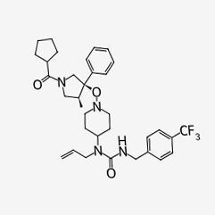 C=CCN(C(=O)NCc1ccc(C(F)(F)F)cc1)C1CCN(O[C@]2(c3ccccc3)CN(C(=O)C3CCCC3)C[C@@H]2C)CC1